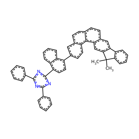 CC1(C)c2ccccc2-c2cc3ccc4ccc5cc(-c6ccc(-c7nc(-c8ccccc8)nc(-c8ccccc8)n7)c7ccccc67)ccc5c4c3cc21